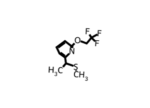 CSC(C)c1cccc(OCC(F)(F)F)n1